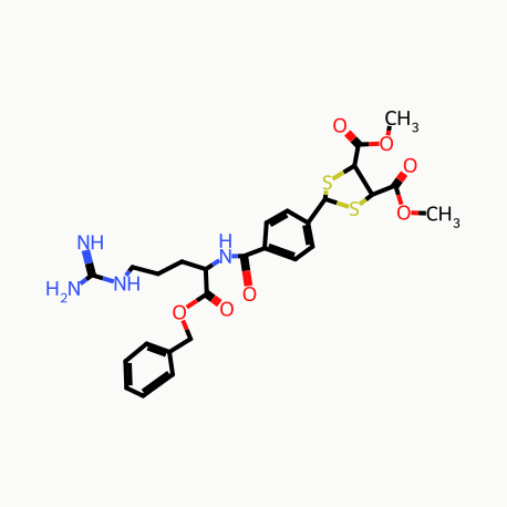 COC(=O)C1SC(c2ccc(C(=O)NC(CCCNC(=N)N)C(=O)OCc3ccccc3)cc2)SC1C(=O)OC